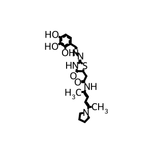 C/C(=C\C=C(/C)N1CCCC1)NC(=O)CC1S/C(=N/N=C/c2ccc(O)c(O)c2O)NC1=O